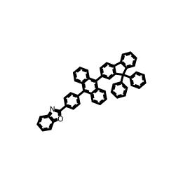 c1ccc(C2(c3ccccc3)c3ccccc3-c3ccc(-c4c5ccccc5c(-c5ccc(-c6nc7ccccc7o6)cc5)c5ccccc45)cc32)cc1